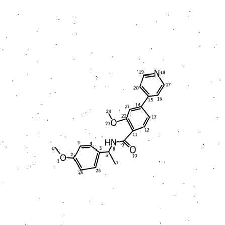 COc1ccc(C(C)NC(=O)c2ccc(-c3ccncc3)cc2OC)cc1